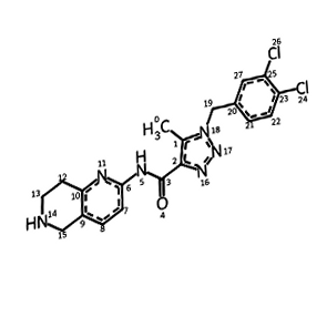 Cc1c(C(=O)Nc2ccc3c(n2)CCNC3)nnn1Cc1ccc(Cl)c(Cl)c1